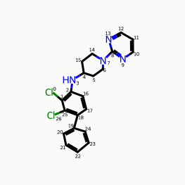 Clc1c(NC2CCN(c3ncccn3)CC2)ccc(-c2ccccc2)c1Cl